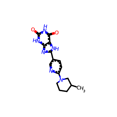 CC1CCCN(c2ccc(-c3nc4[nH]c(=O)[nH]c(=O)c4[nH]3)cn2)C1